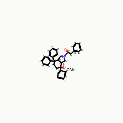 COc1ccccc1C1(O)CCC(c2ccccc2)(c2ccccc2)C2CN(C(=O)Cc3ccccc3)CC21